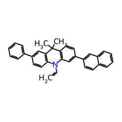 C=CN1c2cc(-c3ccc4ccccc4c3)ccc2C(C)(C)c2cc(-c3ccccc3)ccc21